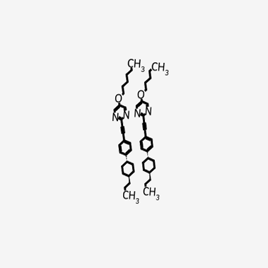 CCCCCCOc1cnc(C#Cc2ccc([C@H]3CC[C@H](CCC)CC3)cc2)nc1.CCCCCOc1cnc(C#Cc2ccc([C@H]3CC[C@H](CCC)CC3)cc2)nc1